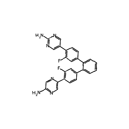 Nc1cnc(-c2ccc(-c3ccccc3-c3ccc(-c4cnc(N)nc4)c(F)c3)cc2F)cn1